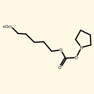 CCCCCCCCCCCCCOC(=O)ON1CCCC1